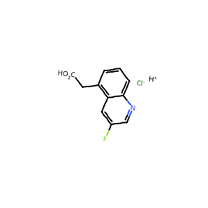 O=C(O)Cc1cccc2ncc(F)cc12.[Cl-].[H+]